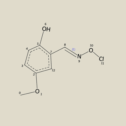 COc1ccc(O)c(/C=N/OCl)c1